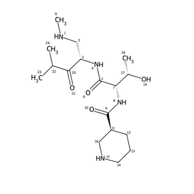 CNC[C@H](NC(=O)[C@@H](NC(=O)[C@H]1CCCNC1)[C@H](C)O)C(=O)C(C)C